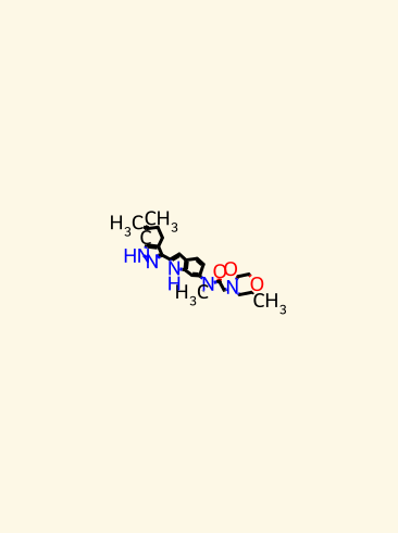 C[C@@H]1CN(CC(=O)N(C)c2ccc3cc(-c4n[nH]c5c4CCC(C)(C)C5)[nH]c3c2)C(=O)CO1